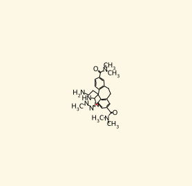 CN1N=NC(C2(CCN)c3ccc(C(=O)N(C)C)cc3CCc3cc(C(=O)N(C)C)ccc32)N1